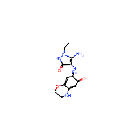 CCn1[nH]c(=O)c(/N=C2\C=C3OCCNC3=CC2=O)c1N